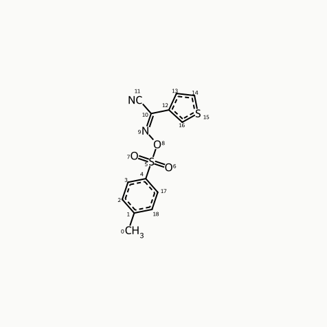 Cc1ccc(S(=O)(=O)O/N=C(/C#N)c2ccsc2)cc1